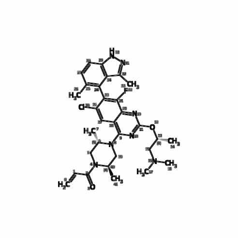 C=CC(=O)N1C[C@H](C)N(c2nc(O[C@H](C)CN(C)C)nc3c(F)c(-c4c(C)ccc5[nH]nc(C)c45)c(Cl)cc23)C[C@H]1C